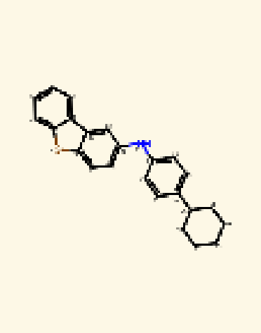 c1ccc2c(c1)sc1ccc(Nc3ccc(C4CCCCC4)cc3)cc12